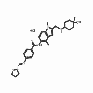 Cc1c(NC(=O)c2ccc(OC[C@@H]3CCCO3)cc2)ccc2c1cc(CNC1CCC(C)(O)CC1)n2C.Cl